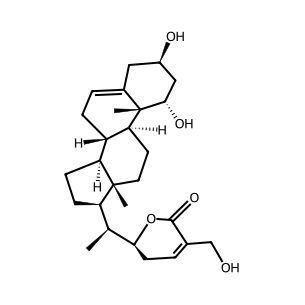 C[C@H]([C@@H]1CC=C(CO)C(=O)O1)[C@H]1CC[C@H]2[C@@H]3CC=C4C[C@@H](O)C[C@H](O)[C@]4(C)[C@H]3CC[C@]12C